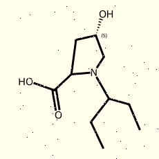 CCC(CC)N1C[C@@H](O)CC1C(=O)O